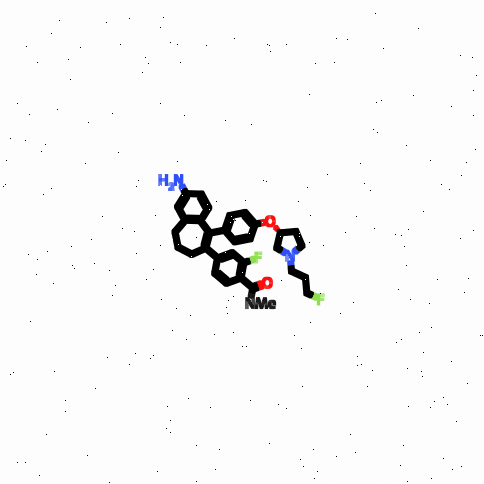 CNC(=O)c1ccc(C2=C(c3ccc(O[C@H]4CCN(CCCF)C4)cc3)c3ccc(N)cc3CCC2)cc1F